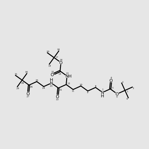 CC(C)(C)OC(=O)NCCCCC(NC(=O)OC(C)(C)C)C(=O)NCCC(=O)C(C)(C)C